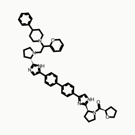 O=C([C@H]1CCCO1)N1CCC[C@H]1c1nc(-c2ccc(-c3ccc(-c4cnc([C@@H]5CCCN5CC(C5=CC=CCO5)N5CCC(c6ccccc6)CC5)[nH]4)cc3)cc2)c[nH]1